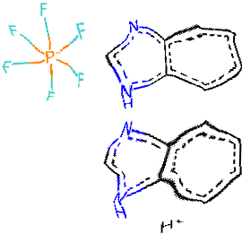 F[P-](F)(F)(F)(F)F.[H+].c1ccc2[nH]cnc2c1.c1ccc2[nH]cnc2c1